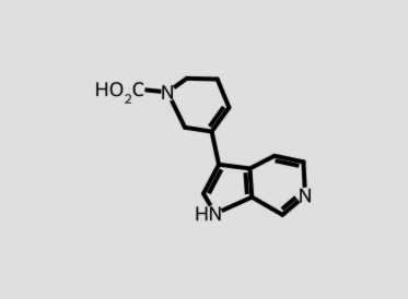 O=C(O)N1CCC=C(c2c[nH]c3cnccc23)C1